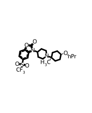 CCCO[C@H]1CC[C@](C)(N2CCC(n3c(=O)oc4ccc(S(=O)(=O)C(F)(F)F)cc43)CC2)CC1